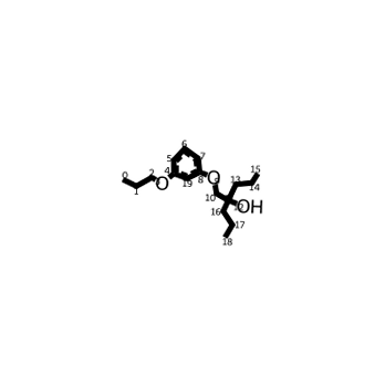 CCCOc1cccc(OCC(O)(CCC)CCC)c1